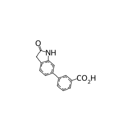 O=C1Cc2ccc(-c3cccc(C(=O)O)c3)cc2N1